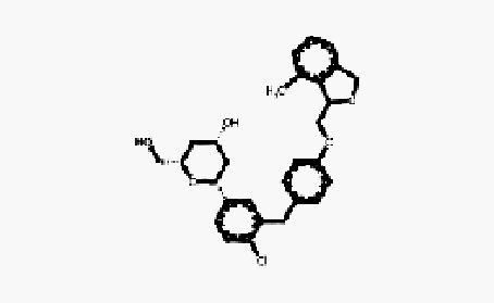 Cc1cccc2c1C(COc1ccc(Cc3cc([C@H]4C[C@@H](O)C[C@@H](CO)O4)ccc3Cl)cc1)OC2